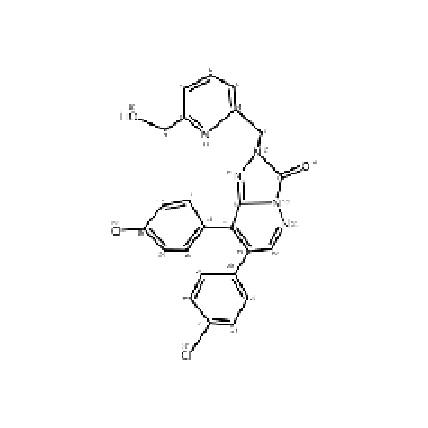 O=c1n(Cc2cccc(CO)n2)nc2c(-c3ccc(Cl)cc3)c(-c3ccc(Cl)cc3)cnn12